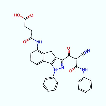 N#CC(C(=O)Nc1ccccc1)C(=O)c1nn(-c2ccccc2)c2c1Cc1c(NC(=O)CCC(=O)O)cccc1-2